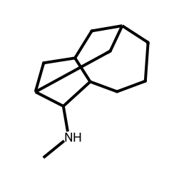 CNC1C2CC3CCCC1C(C3)C2